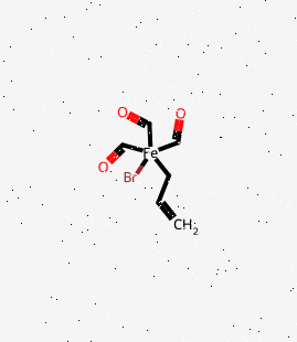 C=C[CH2][Fe]([Br])([CH]=O)([CH]=O)[CH]=O